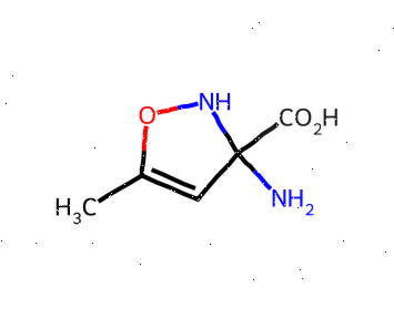 CC1=CC(N)(C(=O)O)NO1